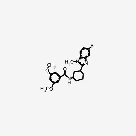 COc1cc(OC)cc(C(=O)NC2CCCC(c3nc4cc(Br)ccc4n3C)C2)c1